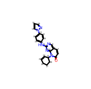 O=c1ccc2cnc(Nc3ccc(-n4cccn4)cc3)nc2n1C1C=CCCC1